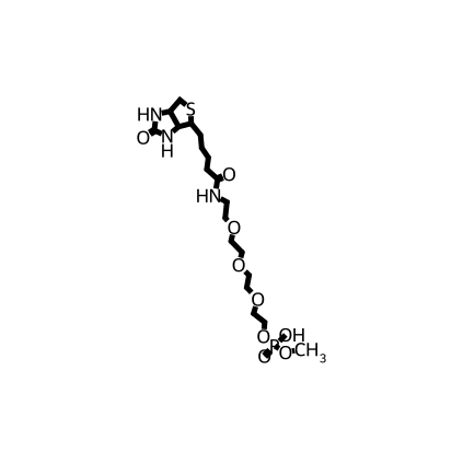 COP(=O)(O)OCCOCCOCCOCCNC(=O)CCCCC1SCC2NC(=O)NC21